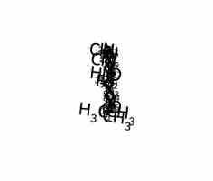 CC(C)(C)OC(=O)N1CCC(c2ccc(NC(=O)C3CN(c4cnnc(Cl)c4Cl)C3)c(F)c2)CC1